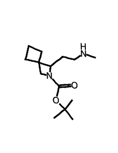 CNCCC1N(C(=O)OC(C)(C)C)CC12CCC2